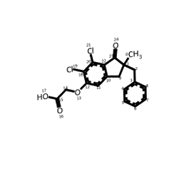 CC1(Cc2ccccc2)Cc2cc(OCC(=O)O)c(Cl)c(Cl)c2C1=O